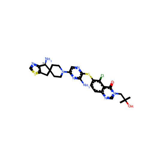 CC(C)(O)Cn1cnc2ccc(Sc3ncc(N4CCC5(CC4)Cc4scnc4[C@H]5N)nc3N)c(Cl)c2c1=O